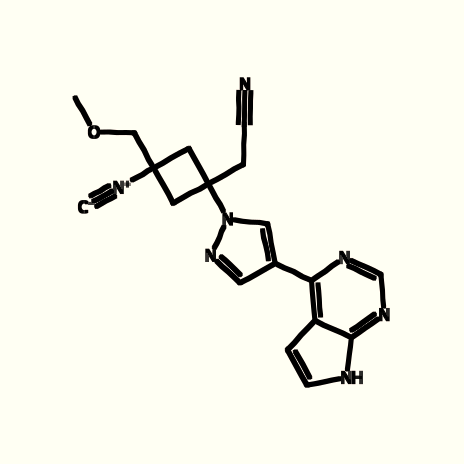 [C-]#[N+]C1(COC)CC(CC#N)(n2cc(-c3ncnc4[nH]ccc34)cn2)C1